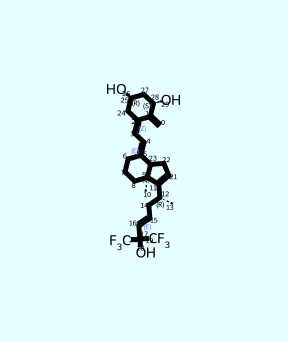 C=C1/C(=C\C=C2/CCC[C@]3(C)C([C@H](C)C/C=C/C(O)(C(F)(F)F)C(F)(F)F)=CCC23)C[C@@H](O)C[C@@H]1O